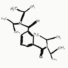 CC(C)N(C(=N)c1cccc(C(=N)N(C(C)C)C(C)C)c1)C(C)C